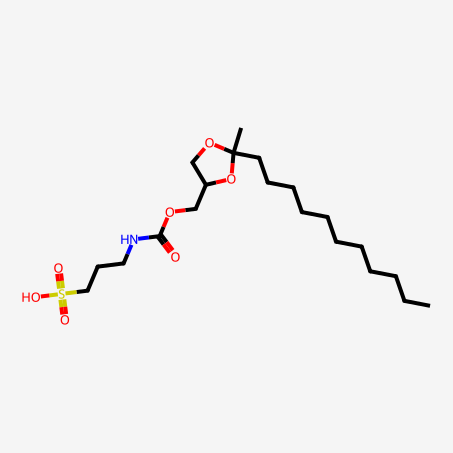 CCCCCCCCCCCC1(C)OCC(COC(=O)NCCCS(=O)(=O)O)O1